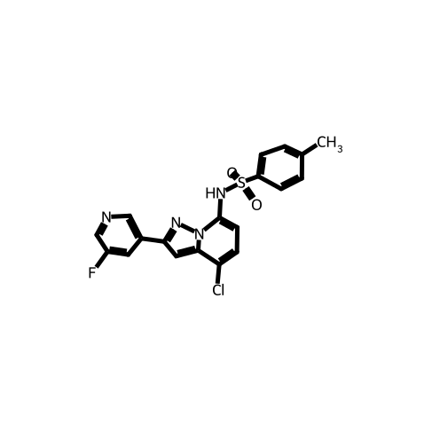 Cc1ccc(S(=O)(=O)Nc2ccc(Cl)c3cc(-c4cncc(F)c4)nn23)cc1